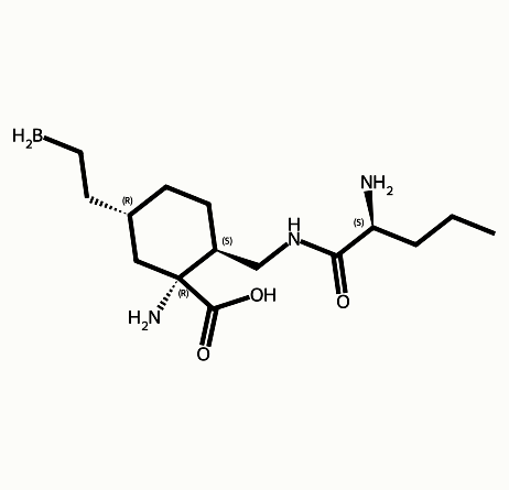 BCC[C@@H]1CC[C@@H](CNC(=O)[C@@H](N)CCC)[C@@](N)(C(=O)O)C1